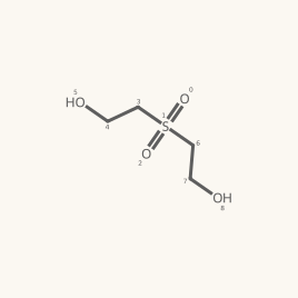 O=S(=O)(CCO)CCO